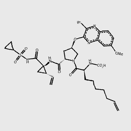 C=CCCCCC[C@H](NC(=O)O)C(=O)N1C[C@H](Oc2nc3cc(OC)ccc3nc2C(C)C)C[C@H]1C(=O)N[C@]1(C(=O)NS(=O)(=O)C2CC2)C[C@H]1C=C